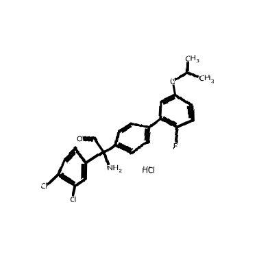 CC(C)Oc1ccc(F)c(-c2ccc(C(N)(C=O)c3ccc(Cl)c(Cl)c3)cc2)c1.Cl